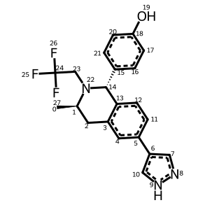 C[C@@H]1Cc2cc(-c3cn[nH]c3)ccc2[C@@H](c2ccc(O)cc2)N1CC(F)(F)F